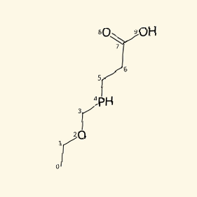 CCOCPCCC(=O)O